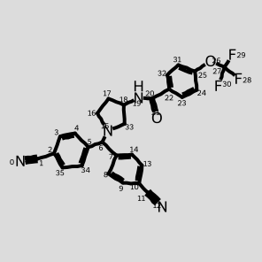 N#Cc1ccc(C(c2ccc(C#N)cc2)N2CCC(NC(=O)c3ccc(OC(F)(F)F)cc3)C2)cc1